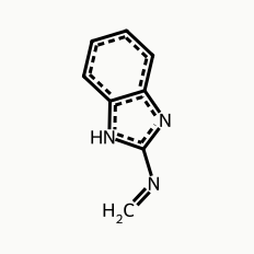 C=Nc1nc2ccccc2[nH]1